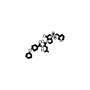 CC(C)CC(NC(=O)c1ccc(Oc2ccccc2)cc1)C(=O)N1CCC2C1C(=O)CN2S(=O)(=O)Cc1cccnc1